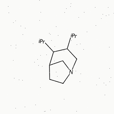 CC(C)C1CN2CCC(C2)C1C(C)C